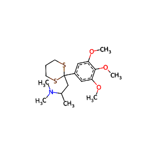 COc1cc(C2(CC(C)N(C)C)SCCCS2)cc(OC)c1OC